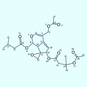 CC(=O)OCC1=COC(OC(=O)CC(C)C)C2C1=CC(OC(=O)CC(C)(C)OC(C)=O)C21CO1